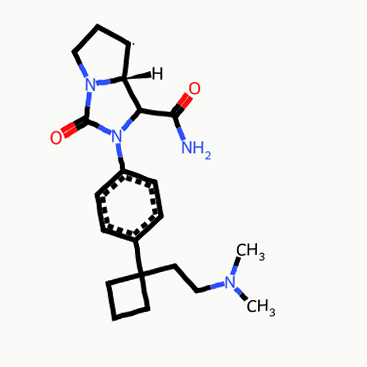 CN(C)CCC1(c2ccc(N3C(=O)N4CC[CH][C@@H]4C3C(N)=O)cc2)CCC1